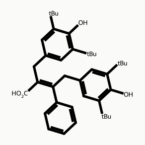 CC(C)(C)c1cc(CC(C(=O)O)=C(Cc2cc(C(C)(C)C)c(O)c(C(C)(C)C)c2)c2ccccc2)cc(C(C)(C)C)c1O